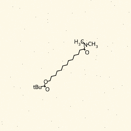 CN(C)C(=O)CCCCCCCCCCCCOC(=O)C(C)(C)C